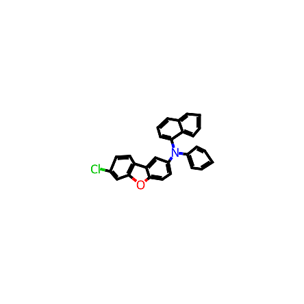 Clc1ccc2c(c1)oc1ccc(N(c3ccccc3)c3cccc4ccccc34)cc12